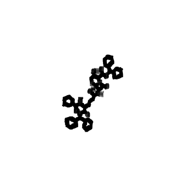 O=C(CCCC(NC(=O)c1ccccc1)C(=O)OC(c1ccccc1)c1ccccc1)N[C@@H]1C(=O)N2C(C(=O)OC(c3ccccc3)c3ccccc3)=C(O)CS[C@H]12